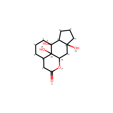 O=C1CC2CCCC3(O)C4CCCC4(O)CC(O1)C23O